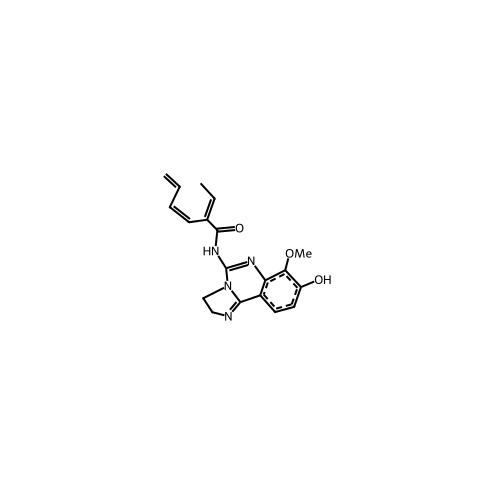 C=C/C=C\C(=C/C)C(=O)NC1=Nc2c(ccc(O)c2OC)C2=NCCN12